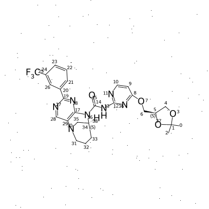 CC1(C)OC[C@H](COc2ccnc(NC(=O)N3c4nc(-c5cccc(C(F)(F)F)c5)ncc4N4CCC[C@H]3C4)n2)O1